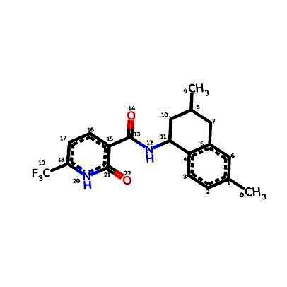 Cc1ccc2c(c1)CC(C)CC2NC(=O)c1ccc(C(F)(F)F)[nH]c1=O